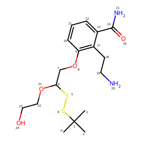 CC(C)(C)SSC(COc1cccc(C(N)=O)c1CCN)OCCO